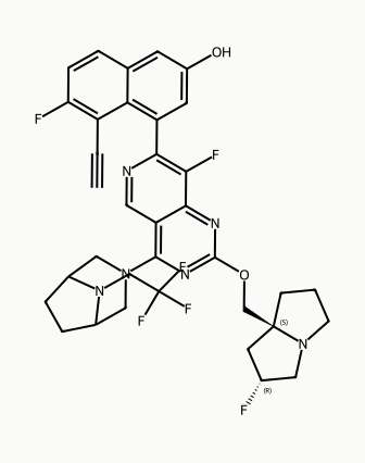 C#Cc1c(F)ccc2cc(O)cc(-c3ncc4c(N5CC6CCC(C5)N6CC(F)(F)F)nc(OC[C@@]56CCCN5C[C@H](F)C6)nc4c3F)c12